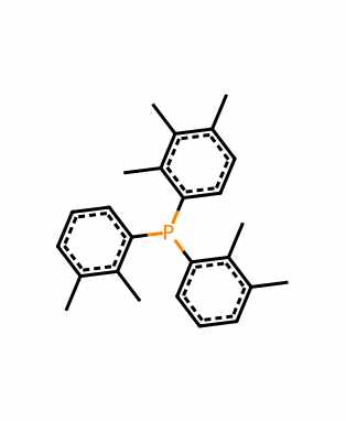 Cc1cccc(P(c2cccc(C)c2C)c2ccc(C)c(C)c2C)c1C